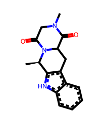 C[C@@H]1c2[nH]c3ccccc3c2CC2C(=O)N(C)CC(=O)N21